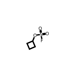 O=S(=O)(F)OC1CCC1